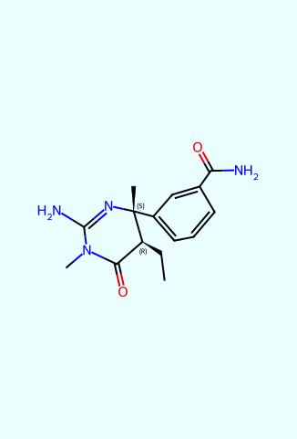 CC[C@H]1C(=O)N(C)C(N)=N[C@]1(C)c1cccc(C(N)=O)c1